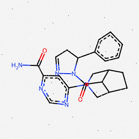 NC(=O)c1cc(N2CC3CCC(C2)C3C(=O)N2N=CCC2c2ccccc2)ncn1